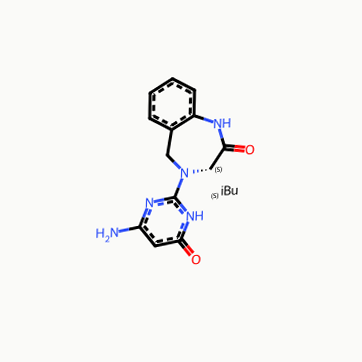 CC[C@H](C)[C@H]1C(=O)Nc2ccccc2CN1c1nc(N)cc(=O)[nH]1